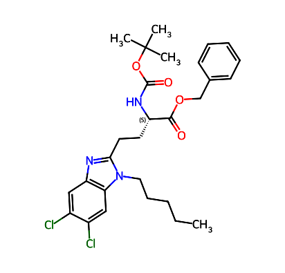 CCCCCn1c(CC[C@H](NC(=O)OC(C)(C)C)C(=O)OCc2ccccc2)nc2cc(Cl)c(Cl)cc21